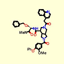 CNC(=O)[C@H](COCc1ccccc1)NC(=O)C1CN(C(=O)Cc2ccnc3ccccc23)CC2CN(C(=O)c3ccc(OC(C)C)c(OC)c3)CC21